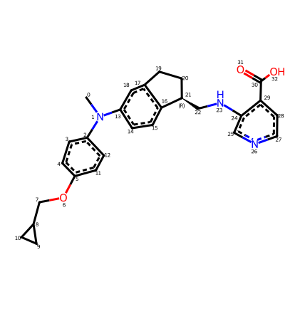 CN(c1ccc(OCC2CC2)cc1)c1ccc2c(c1)CC[C@H]2CNc1cnccc1C(=O)O